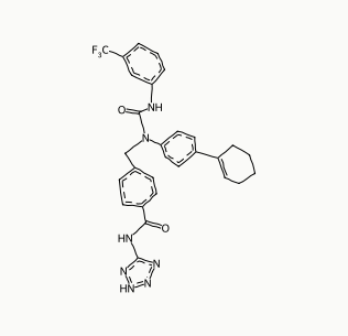 O=C(Nc1nn[nH]n1)c1ccc(CN(C(=O)Nc2cccc(C(F)(F)F)c2)c2ccc(C3=CCCCC3)cc2)cc1